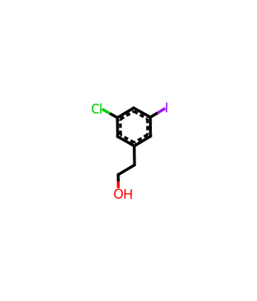 OCCc1cc(Cl)cc(I)c1